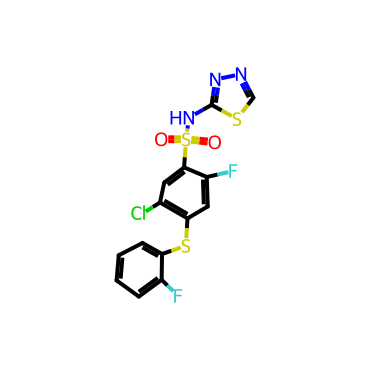 O=S(=O)(Nc1nncs1)c1cc(Cl)c(Sc2ccccc2F)cc1F